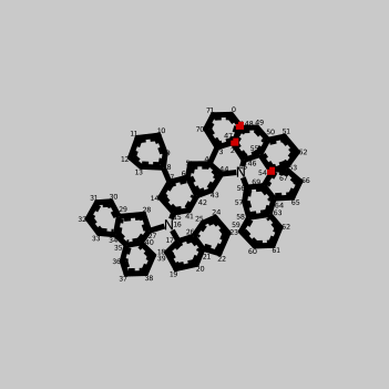 c1ccc(-c2cc3c(-c4ccccc4)cc(N(c4cccc5ccccc45)c4cc5ccccc5c5ccccc45)cc3cc2N(c2cccc3ccccc23)c2cc3ccccc3c3ccccc23)cc1